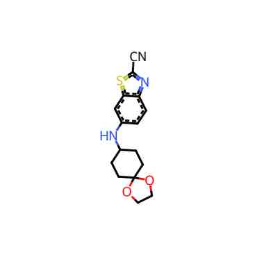 N#Cc1nc2ccc(NC3CCC4(CC3)OCCO4)cc2s1